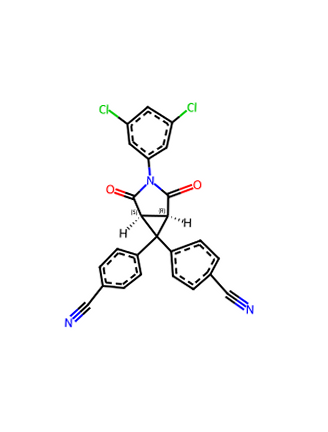 N#Cc1ccc(C2(c3ccc(C#N)cc3)[C@@H]3C(=O)N(c4cc(Cl)cc(Cl)c4)C(=O)[C@@H]32)cc1